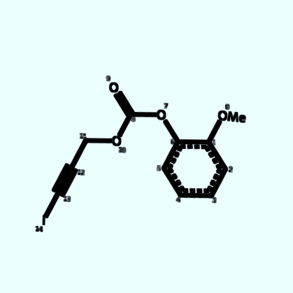 COc1ccccc1OC(=O)OCC#CI